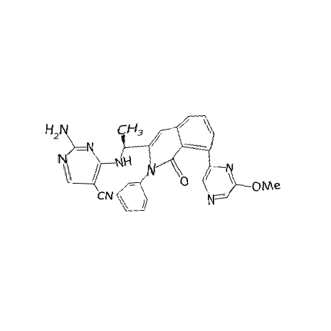 COc1cncc(-c2cccc3cc([C@H](C)Nc4nc(N)ncc4C#N)n(-c4ccccc4)c(=O)c23)n1